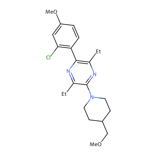 CCc1nc(N2CCC(COC)CC2)c(CC)nc1-c1ccc(OC)cc1Cl